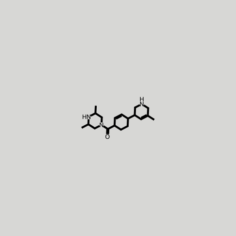 CC1=CC(C2C=CC(C(=O)N3CC(C)NC(C)C3)CC2)CNC1